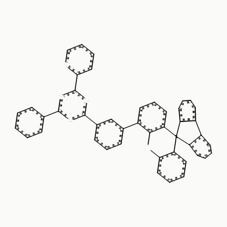 c1ccc(-c2nc(-c3cccc(-c4cccc5c4Oc4ccccc4C54c5ccccc5-c5ccccc54)c3)nc(-c3ccccn3)n2)cc1